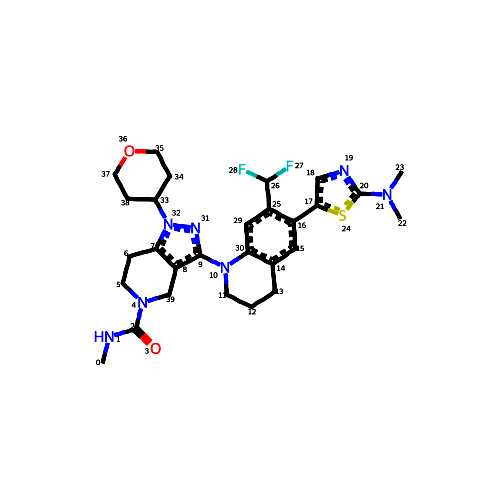 CNC(=O)N1CCc2c(c(N3CCCc4cc(-c5cnc(N(C)C)s5)c(C(F)F)cc43)nn2C2CCOCC2)C1